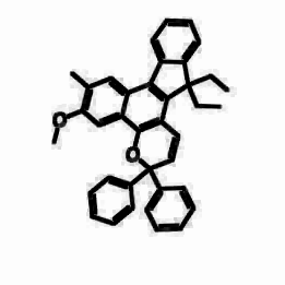 CCC1(CC)c2ccccc2-c2c1c1c(c3cc(OC)c(C)cc23)OC(c2ccccc2)(c2ccccc2)C=C1